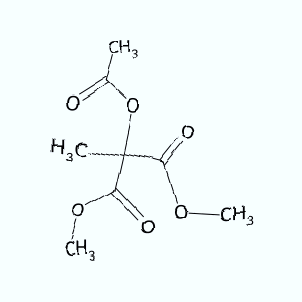 COC(=O)C(C)(OC(C)=O)C(=O)OC